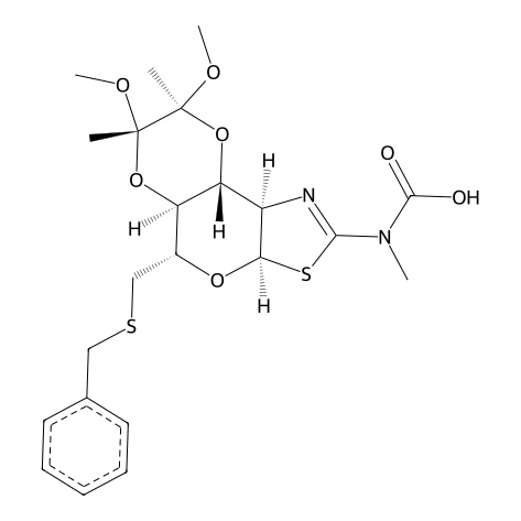 CO[C@@]1(C)O[C@@H]2[C@H]3N=C(N(C)C(=O)O)S[C@H]3O[C@H](CSCc3ccccc3)[C@H]2O[C@]1(C)OC